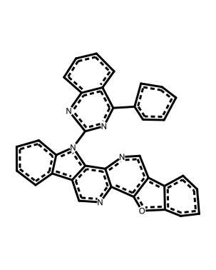 c1ccc(-c2nc(-n3c4ccccc4c4cnc5c(ncc6c7ccccc7oc65)c43)nc3ccccc23)cc1